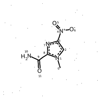 Cn1cc([N+](=O)[O-])nc1C(N)=O